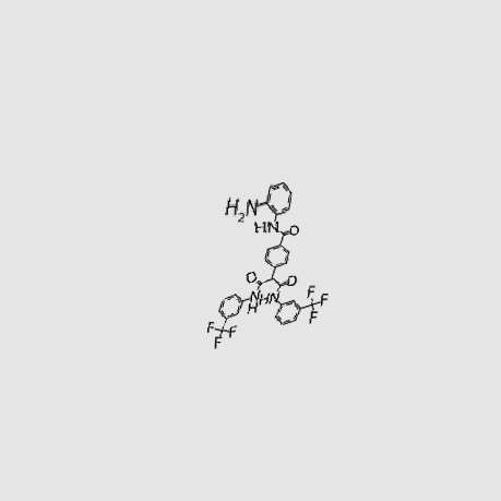 Nc1ccccc1NC(=O)c1ccc(C(C(=O)Nc2cccc(C(F)(F)F)c2)C(=O)Nc2cccc(C(F)(F)F)c2)cc1